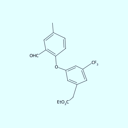 CCOC(=O)Cc1cc(Oc2ccc(C)cc2C=O)cc(C(F)(F)F)c1